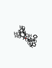 CC1=C2[C@H](O)[C@H](O)[C@@]3(C)[C@H]([C@H](C)[C@](O)(C[C@@H]1OC(=O)[C@H](O[Si](C)(C)C(C)(C)C)[C@@H](NC(=O)c1ccccc1)c1ccccc1)C2(C)C)[C@]1(C)CO[C@@H]1C[C@@H]3C